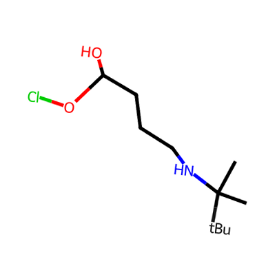 CC(C)(C)C(C)(C)NCCCC(O)OCl